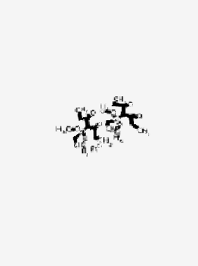 CCC(=O)C(C(=O)CC)[Si](CC)(OC)OC.CCC(=O)C(C(=O)CC)[Si](CC)(OC)OC.[Pt+2]